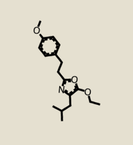 CCOc1oc(CCc2ccc(OC)cc2)nc1CC(C)C